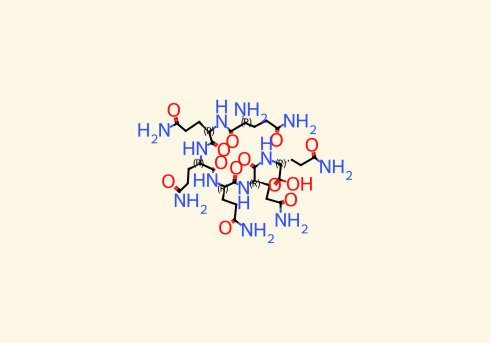 NC(=O)CC[C@@H](N)C(=O)N[C@H](CCC(N)=O)C(=O)N[C@H](CCC(N)=O)C(=O)N[C@H](CCC(N)=O)C(=O)N[C@H](CCC(N)=O)C(=O)N[C@H](CCC(N)=O)C(=O)O